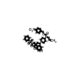 C=CCN(C(=O)OCc1ccc([N+](=O)[O-])cc1)C1CCN(CCC(CO)(CN(C)S(=O)(=O)c2ccccc2)c2ccccc2)CC1.Cl